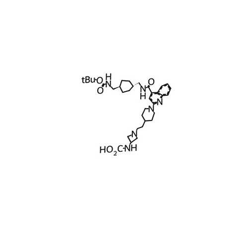 CC(C)(C)OC(=O)NC[C@H]1CC[C@H](CNC(=O)c2cc(N3CCC(CCN4CC(NC(=O)O)C4)CC3)nc3ccccc23)CC1